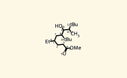 CCC(CCC(=O)OC)CC(C(O)C(C)C(C)(C)C)C(C)(C)C